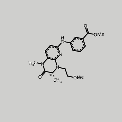 COCCN1c2nc(Nc3cccc(C(=O)OC)c3)ccc2N(C)C(=O)[C@H]1C